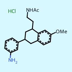 COc1ccc2c(c1)C(CCNC(C)=O)CC(c1cccc(N)c1)C2.Cl